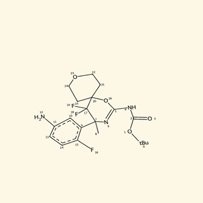 CC(C)(C)OC(=O)NC1=NC(C)(c2cc(N)ccc2F)C(F)(F)C2(CCOCC2)O1